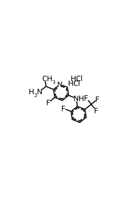 CC(N)c1ncc(Nc2c(F)cccc2C(F)(F)F)cc1F.Cl.Cl